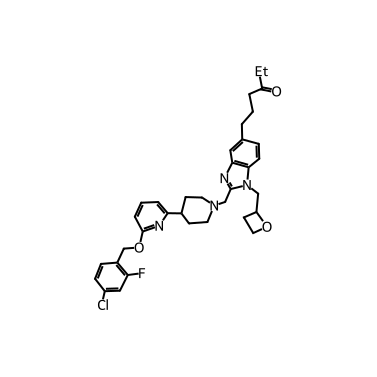 CCC(=O)CCCc1ccc2c(c1)nc(CN1CCC(c3cccc(OCc4ccc(Cl)cc4F)n3)CC1)n2CC1CCO1